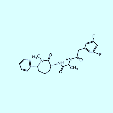 C[C@H](NC(=O)Cc1cc(F)cc(F)c1)C(=O)N[C@@H]1CCC[C@H](c2ccccc2)N(C)C1=O